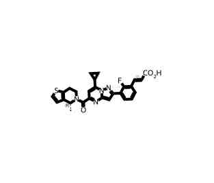 C[C@@H]1c2ccsc2CCN1C(=O)c1cc(C2CC2)n2nc(-c3cccc(/C=C/C(=O)O)c3F)cc2n1